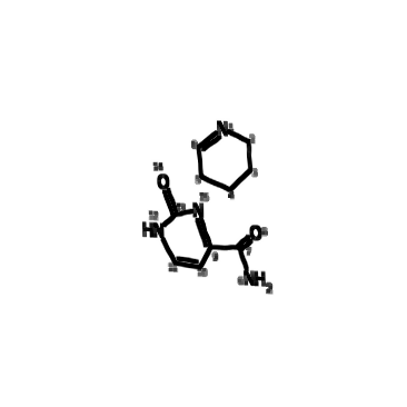 C1=NCCCC1.NC(=O)c1cc[nH]c(=O)n1